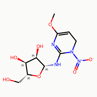 COC1=CCN([N+](=O)[O-])C(N[C@@H]2O[C@H](CO)[C@@H](O)[C@H]2O)=N1